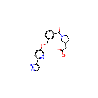 O=C(O)C[C@@H]1CCN(C(=O)c2cccc(COc3ccc(-c4ccn[nH]4)nc3)c2)C1